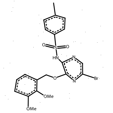 COc1cccc(COc2nc(Br)cnc2NS(=O)(=O)c2ccc(C)cc2)c1OC